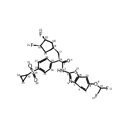 O=C(Nc1nc2ccc(OC(F)F)cc2s1)[C@H](C[C@H]1C[C@@H](F)[C@@H](F)C1)c1ccc(S(=O)(=O)C2CC2)cc1